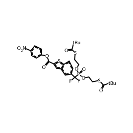 CC(C)(C)C(=O)SCCOP(=O)(OCCSC(=O)C(C)(C)C)C(F)(F)c1ccc2sc(C(=O)Oc3ccc([N+](=O)[O-])cc3)cc2c1